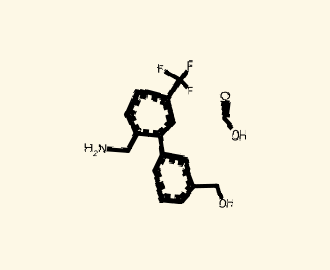 NCc1ccc(C(F)(F)F)cc1-c1cccc(CO)c1.O=CO